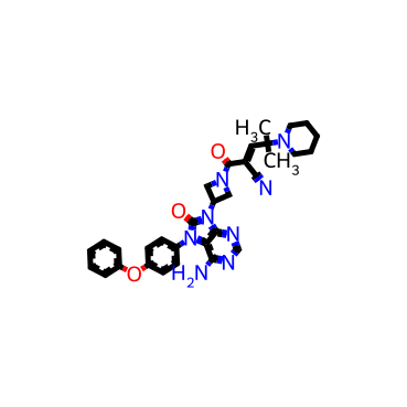 CC(C)(C=C(C#N)C(=O)N1CC(n2c(=O)n(-c3ccc(Oc4ccccc4)cc3)c3c(N)ncnc32)C1)N1CCCCC1